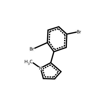 Cn1c[c]cc1-c1cc(Br)ccc1Br